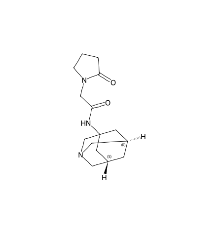 O=C(CN1CCCC1=O)NC12C[C@@H]3C[C@@H](CN(C3)C1)C2